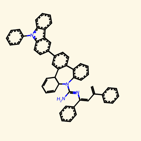 C=C(/C=C(\N=C(/N)N1c2ccccc2-c2ccc(-c3ccc4c(c3)c3ccccc3n4-c3ccccc3)cc2C2C=CC=CC21)c1ccccc1)c1ccccc1